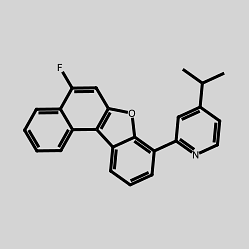 CC(C)c1ccnc(-c2cccc3c2oc2cc(F)c4ccccc4c23)c1